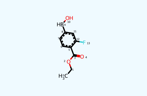 CCOC(=O)c1ccc(BO)cc1F